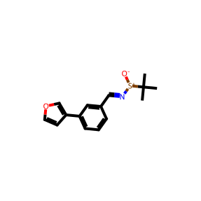 CC(C)(C)[S+]([O-])N=Cc1cccc(-c2ccoc2)c1